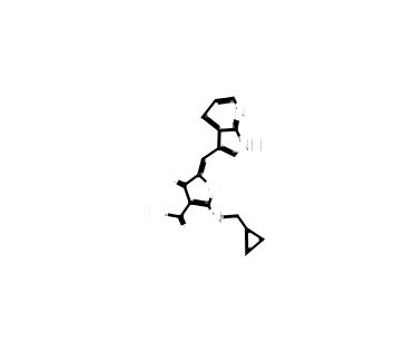 O=C(O)C1=C(NCC2CC2)OC(=Cc2c[nH]c3ncccc23)C1=O